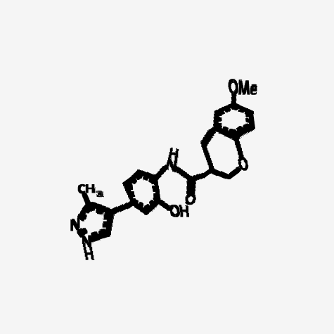 COc1ccc2c(c1)CC(C(=O)Nc1ccc(-c3c[nH]nc3C)cc1O)CO2